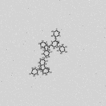 c1ccc(-c2cc(-n3c4ccccc4c4cc(-c5ccc6c(c5)c5ncccc5n6-c5ccccc5)ccc43)cc(-c3ccccc3)n2)cc1